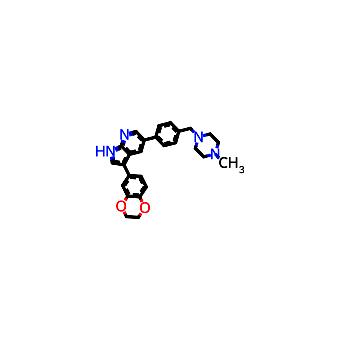 CN1CCN(Cc2ccc(-c3cnc4[nH]cc(-c5ccc6c(c5)OCCO6)c4c3)cc2)CC1